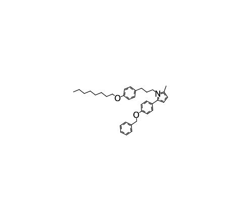 CCCCCCCCOc1ccc(CCCn2c(C)ccc2-c2ccc(OCc3ccccc3)cc2)cc1